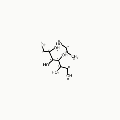 OCC(O)C(O)C(O)C(O)CO.[CH2]CCO